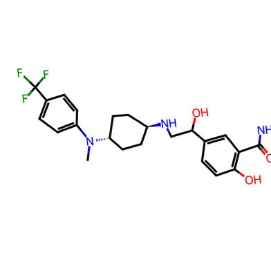 CN(c1ccc(C(F)(F)F)cc1)[C@H]1CC[C@H](NCC(O)c2ccc(O)c(C(N)=O)c2)CC1